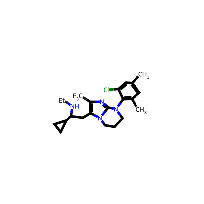 CCNC(Cc1c(C(F)(F)F)nc2n1CCCN2c1c(C)cc(C)cc1Cl)C1CC1